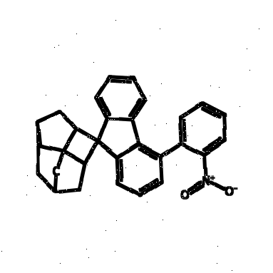 O=[N+]([O-])c1ccccc1-c1cccc2c1-c1ccccc1C21C2CC3CC4CC1C2(C3)C4